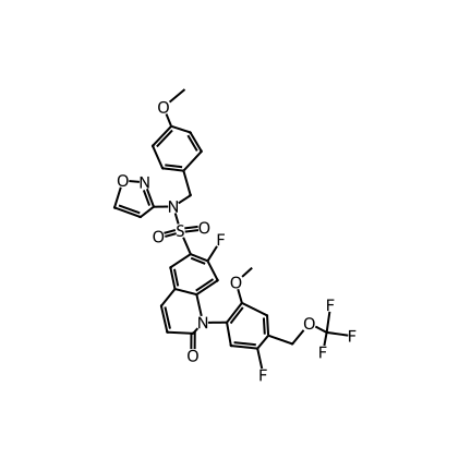 COc1ccc(CN(c2ccon2)S(=O)(=O)c2cc3ccc(=O)n(-c4cc(F)c(COC(F)(F)F)cc4OC)c3cc2F)cc1